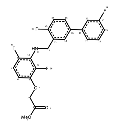 COC(=O)COc1ccc(F)c(NCc2cc(-c3cccc(F)c3)ccc2F)c1F